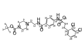 CC(C)(C)OC(=O)N1CCN(CCNC(=O)c2ccc(NS(=O)(=O)CCc3cccc(Cl)c3Cl)cc2)CC1